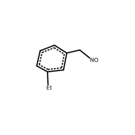 CCc1cccc(CN=O)c1